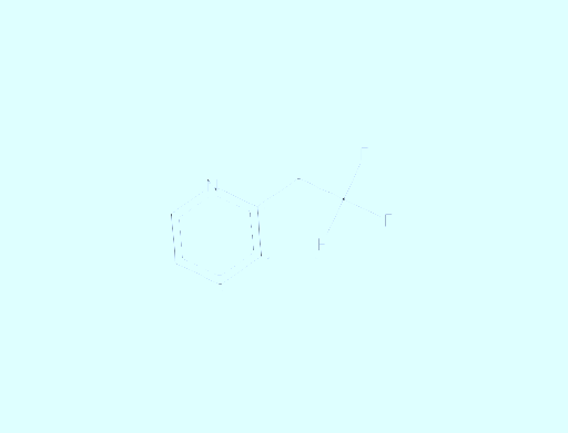 FC(F)(F)Cc1ccc[c]n1